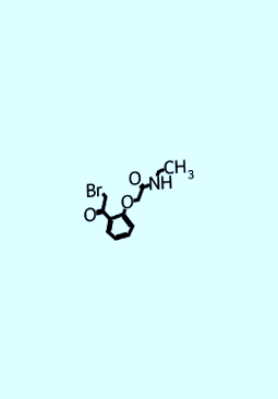 CCNC(=O)COc1ccccc1C(=O)CBr